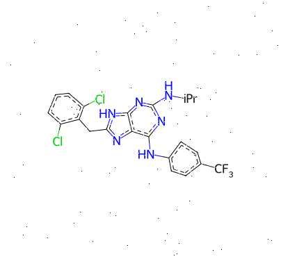 CC(C)Nc1nc(Nc2ccc(C(F)(F)F)cc2)c2nc(Cc3c(Cl)cccc3Cl)[nH]c2n1